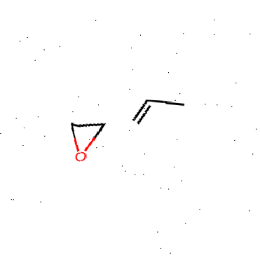 C1CO1.C=CC